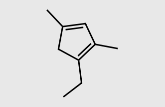 CCC1=C(C)C=C(C)C1